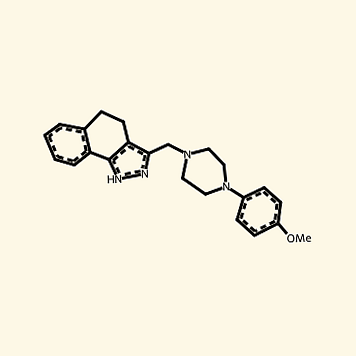 COc1ccc(N2CCN(Cc3n[nH]c4c3CCc3ccccc3-4)CC2)cc1